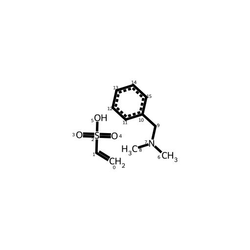 C=CS(=O)(=O)O.CN(C)Cc1ccccc1